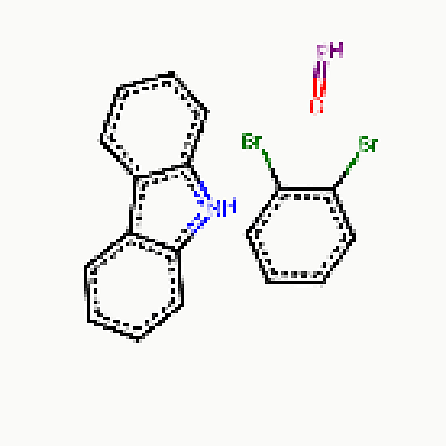 Brc1ccccc1Br.O=P.c1ccc2c(c1)[nH]c1ccccc12